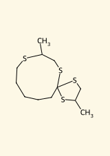 CC1CSC2(CCCCCS1)SCC(C)S2